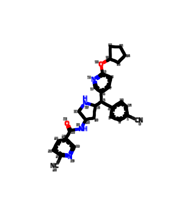 N#Cc1ccc(C(c2ccc(OC3CCCC3)nc2)C2CC(NC(=O)c3ccc(C#N)nc3)CN2)cc1